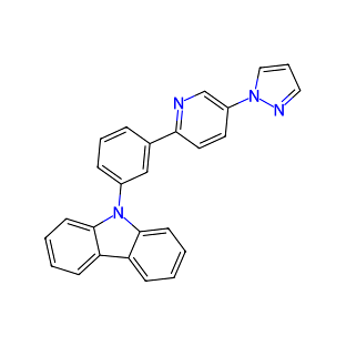 c1cc(-c2ccc(-n3cccn3)cn2)cc(-n2c3ccccc3c3ccccc32)c1